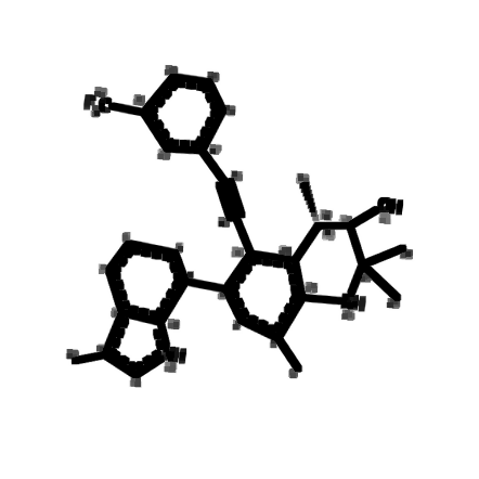 Cc1cc(-c2cccc3c(C)c[nH]c23)c(C#Cc2cccc(C(F)(F)F)c2)c2c1NC(C)(C)C(O)[C@H]2C